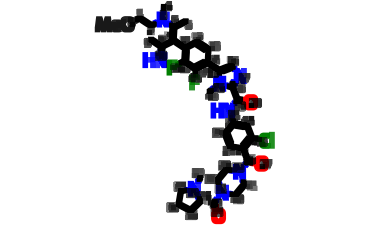 COCCN(C)/C(C)=C(\C(C)=N)c1ccc(-c2cnc(C(=O)Nc3ccc(C(=O)N4CCN(C(=O)[C@@H]5CCCN5C)CC4)c(Cl)c3)n2C)c(F)c1F